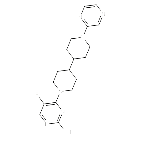 Cc1ncc(F)c(N2CCC(C3CCN(c4cnccn4)CC3)CC2)n1